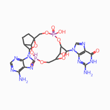 Nc1nc2c(ncn2C2OC3CO[PH](=O)OC4C5CCC4(COP(=O)(O)OC2C3O)OC5n2cnc3c(N)ncnc32)c(=O)[nH]1